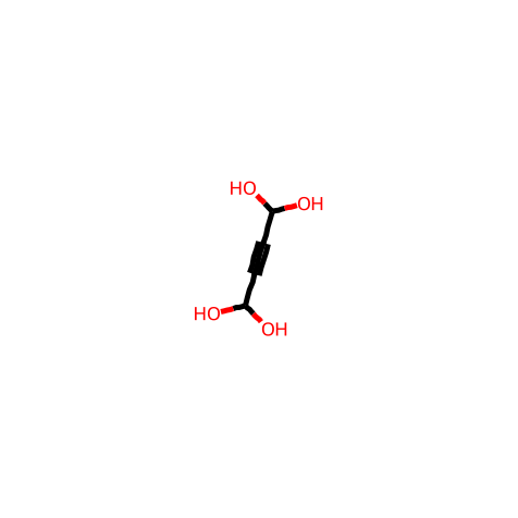 OC(O)C#CC(O)O